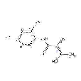 C/C(O)=C(\C#N)C(=S)Nc1ccc(F)cc1F